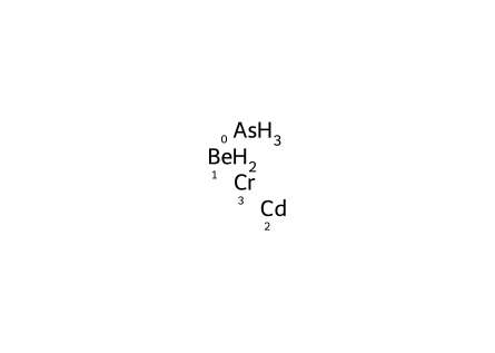 [AsH3].[BeH2].[Cd].[Cr]